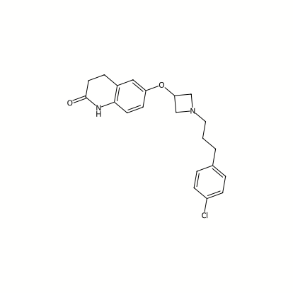 O=C1CCc2cc(OC3CN(CCCc4ccc(Cl)cc4)C3)ccc2N1